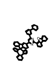 c1ccc(-c2cccc(-c3cc(-c4ccc5c(c4)-c4ccccc4C54c5ccccc5-c5ccccc5-c5ccccc54)nc(-c4cccc5c4oc4ccccc45)n3)c2)cc1